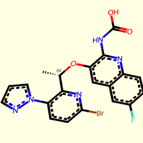 C[C@H](Oc1cc2cc(F)ccc2nc1NC(=O)O)c1nc(Br)ccc1-n1cccn1